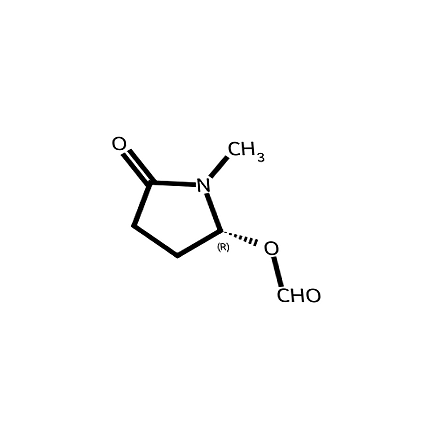 CN1C(=O)CC[C@H]1OC=O